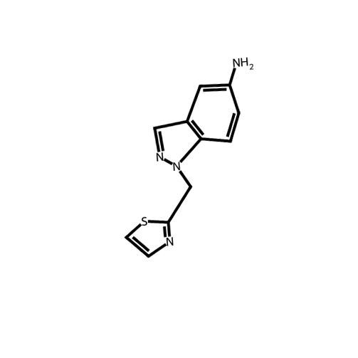 Nc1ccc2c(cnn2Cc2nccs2)c1